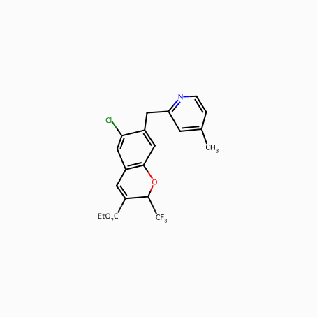 CCOC(=O)C1=Cc2cc(Cl)c(Cc3cc(C)ccn3)cc2OC1C(F)(F)F